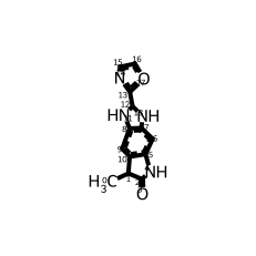 CC1C(=O)Nc2cc3c(cc21)NC(c1ncco1)N3